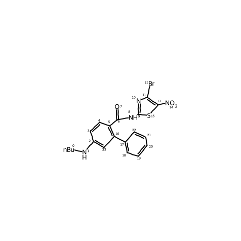 CCCCNc1ccc(C(=O)Nc2nc(Br)c([N+](=O)[O-])s2)c(-c2ccccc2)c1